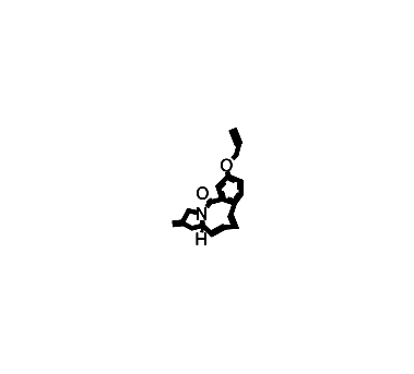 C#CCOc1ccc2c(c1)C(=O)N1CC(=C)C[C@H]1/C=C/C=C/2